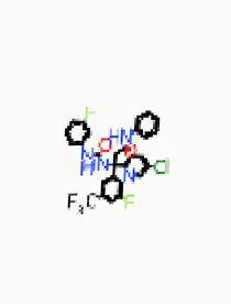 O=C(CC(NC(=O)Nc1cccc(F)c1)(c1cc(F)cc(C(F)(F)F)c1)c1ccc(Cl)cn1)Nc1ccccc1